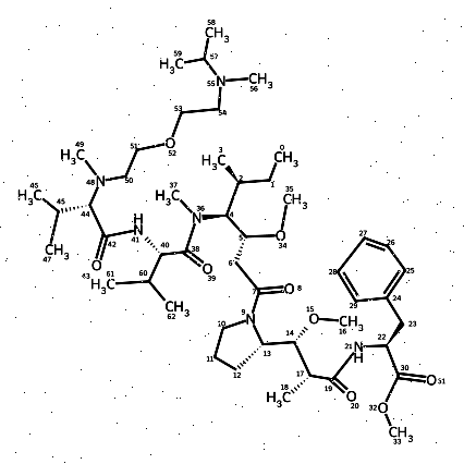 CC[C@H](C)[C@@H]([C@@H](CC(=O)N1CCC[C@H]1[C@H](OC)[C@@H](C)C(=O)N[C@@H](Cc1ccccc1)C(=O)OC)OC)N(C)C(=O)[C@@H](NC(=O)[C@H](C(C)C)N(C)CCOCCN(C)C(C)C)C(C)C